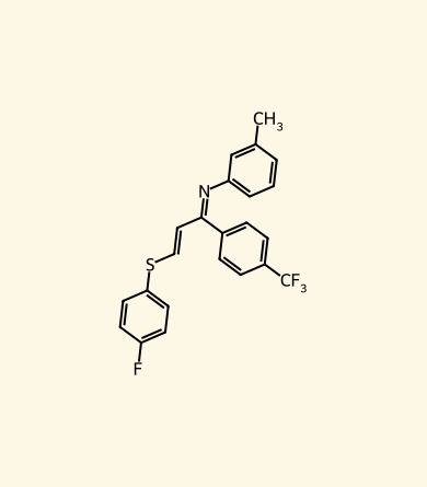 Cc1cccc(/N=C(/C=C/Sc2ccc(F)cc2)c2ccc(C(F)(F)F)cc2)c1